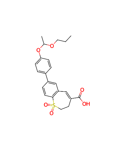 CCCOC(C)Oc1ccc(-c2ccc3c(c2)C=C(C(=O)O)CCS3(=O)=O)cc1